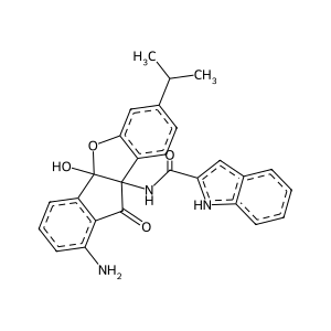 CC(C)c1ccc2c(c1)OC1(O)c3cccc(N)c3C(=O)C21NC(=O)c1cc2ccccc2[nH]1